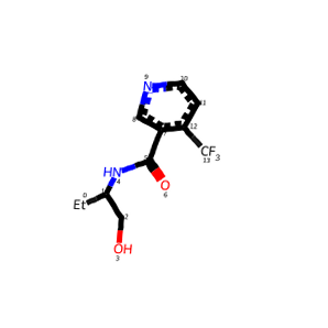 CCC(CO)NC(=O)c1cnccc1C(F)(F)F